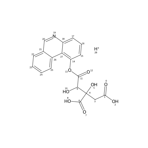 O=C(O)CC(O)(C(=O)O)C(O)C(=O)Oc1cccc2ncc3ccccc3c12.[H+]